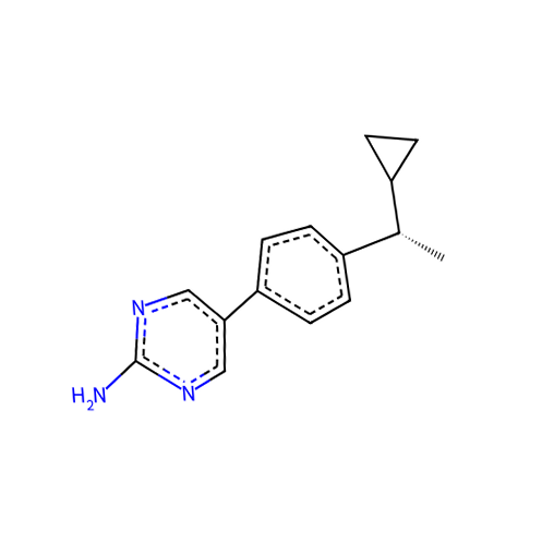 C[C@H](c1ccc(-c2cnc(N)nc2)cc1)C1CC1